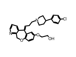 OCCOc1ccc2c(c1)C(=CCCN1CCC(c3ccc(Cl)cc3)CC1)c1cccnc1CO2